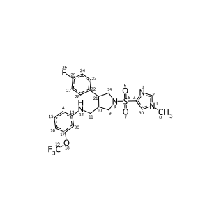 Cn1cnc(S(=O)(=O)N2CC(CNc3cccc(OC(F)(F)F)c3)C(c3ccc(F)cc3)C2)c1